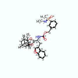 CN=S(C)(=O)c1cccc(COC(=O)N[C@@H](Cc2coc3ccccc23)B2O[C@@H]3C[C@@H]4C[C@@H](C4(C)C)[C@]3(C)O2)c1